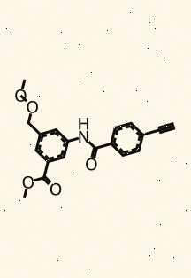 C#Cc1ccc(C(=O)Nc2cc(COOC)cc(C(=O)OC)c2)cc1